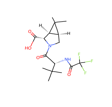 CC(C)(C)[C@@H](NC(=O)C(F)(F)F)C(=O)N1C[C@H]2[C@@H]([C@H]1C(=O)O)C2(C)C